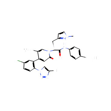 COc1cn([C@@H](Cc2ccn(C)n2)C(=O)Nc2ccc(C(=O)O)cc2)c(=O)cc1-c1cc(Cl)ccc1-n1cc(C(F)(F)F)nn1